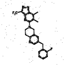 Cc1c(N2CCc3ncc(Cc4ccccc4F)cc3C2)nn2c(C(F)(F)F)nnc2c1C